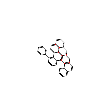 c1ccc(-c2ccccc2-c2c(-c3ccccc3)cccc2N(c2ccc3ccccc3c2)c2cccc3ccccc23)cc1